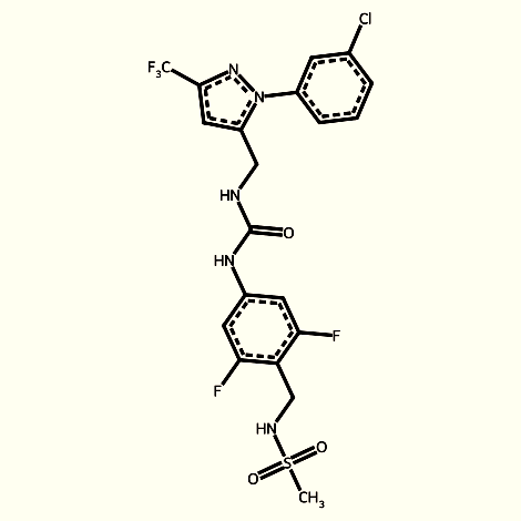 CS(=O)(=O)NCc1c(F)cc(NC(=O)NCc2cc(C(F)(F)F)nn2-c2cccc(Cl)c2)cc1F